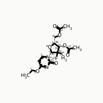 CCOc1ccn([C@@H]2O[C@H](COC(C)=O)[C@H](OC(C)=O)C2(C)F)c(=O)n1